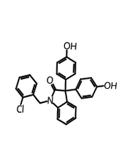 O=C1N(Cc2ccccc2Cl)c2ccccc2C1(c1ccc(O)cc1)c1ccc(O)cc1